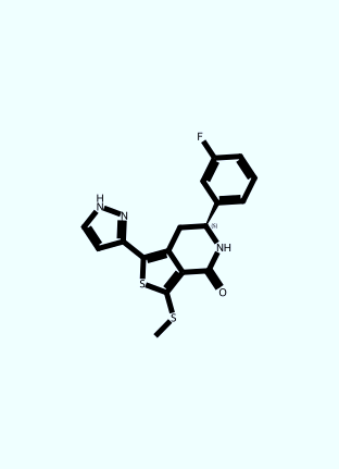 CSc1sc(-c2cc[nH]n2)c2c1C(=O)N[C@H](c1cccc(F)c1)C2